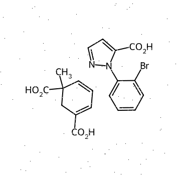 CC1(C(=O)O)C=CC=C(C(=O)O)C1.O=C(O)c1ccnn1-c1ccccc1Br